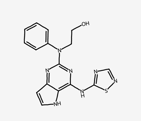 OCCN(c1ccccc1)c1nc(Nc2ncns2)c2[nH]ccc2n1